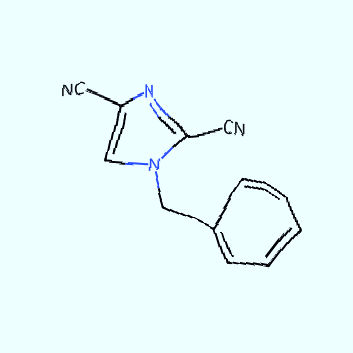 N#Cc1cn(Cc2ccccc2)c(C#N)n1